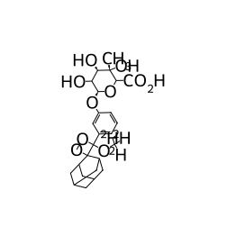 [2H]C([2H])([2H])OC1(c2cccc(O[C@@H]3OC(C(=O)O)[C@@](C)(O)[C@H](O)C3O)c2)OOC12C1CC3CC(C1)CC2C3